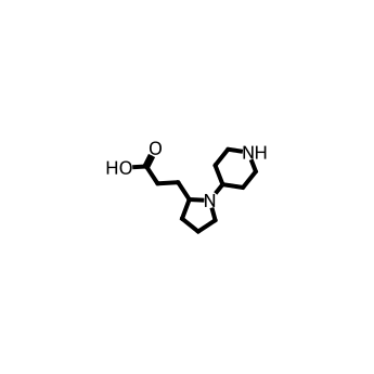 O=C(O)CCC1CCCN1C1CCNCC1